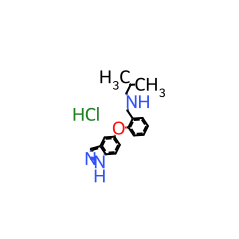 CC(C)CNCc1ccccc1Oc1ccc2[nH]ncc2c1.Cl